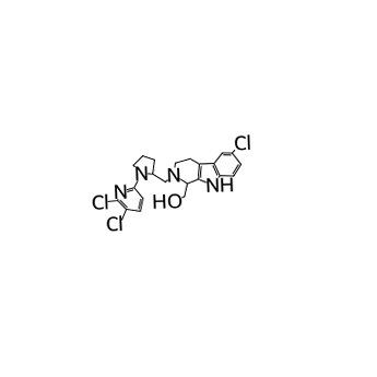 OCC1c2[nH]c3ccc(Cl)cc3c2CCN1CC1CCCN1c1ccc(Cl)c(Cl)n1